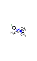 CC1=CCC(C)N1c1cc(C)n(-c2ccc(F)cc2)n1